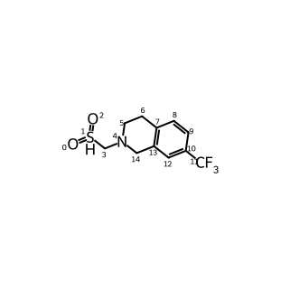 O=[SH](=O)CN1CCc2ccc(C(F)(F)F)cc2C1